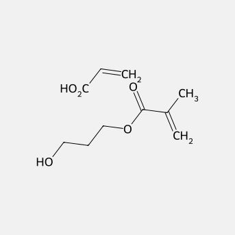 C=C(C)C(=O)OCCCO.C=CC(=O)O